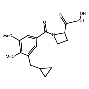 COc1cc(C(=O)N2CC[C@@H]2C(=O)NO)cc(CC2CC2)c1OC